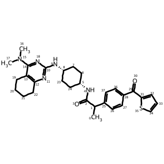 CC(C(=O)N[C@H]1CC[C@@H](Nc2nc3c(c(N(C)C)n2)CCCC3)CC1)c1ccc(C(=O)c2cccs2)cc1